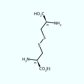 CCOC(=O)[C@@H](N)CSSC[C@H](N)C(=O)O